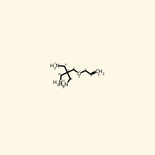 C=CCOCC(CN)(CN)CN